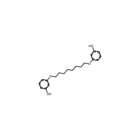 Oc1cccc(OCCCCCCCCOc2cccc(O)c2)c1